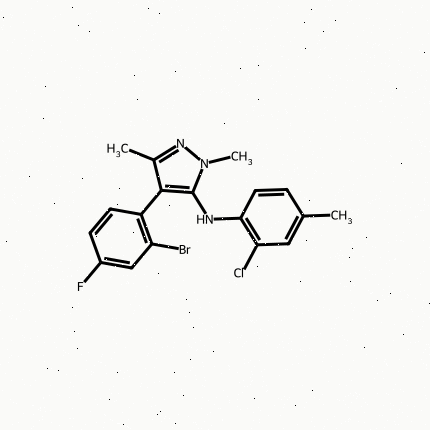 Cc1ccc(Nc2c(-c3ccc(F)cc3Br)c(C)nn2C)c(Cl)c1